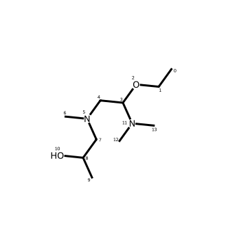 CCOC(CN(C)CC(C)O)N(C)C